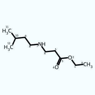 CCOC(=O)CCNCCC(C)C